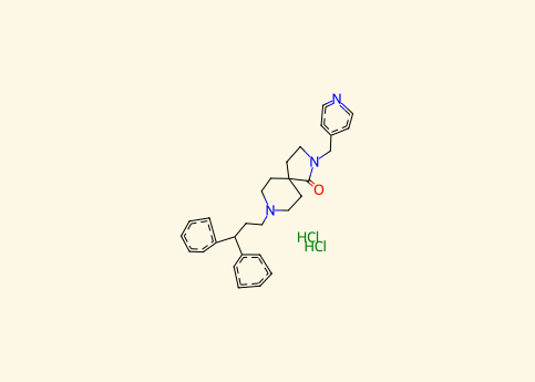 Cl.Cl.O=C1N(Cc2ccncc2)CCC12CCN(CCC(c1ccccc1)c1ccccc1)CC2